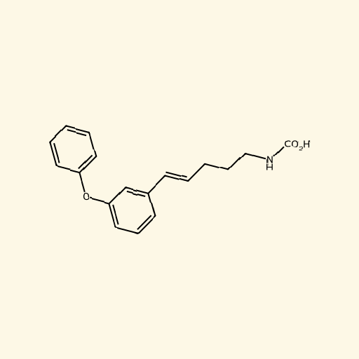 O=C(O)NCCCC=Cc1cccc(Oc2ccccc2)c1